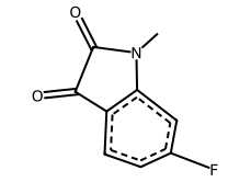 CN1C(=O)C(=O)c2ccc(F)cc21